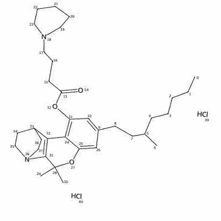 CCCCCC(C)CCc1cc(OC(=O)CCCN2CCCCC2)c2c(c1)OC(C)(C)C1=C2C2CCN1CC2.Cl.Cl